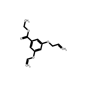 C=CCOc1cc(OC=C)cc(C(=O)OCC)c1